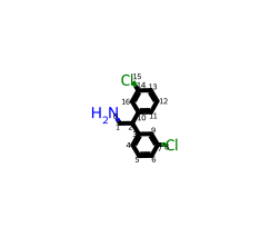 NCC(c1cccc(Cl)c1)c1cccc(Cl)c1